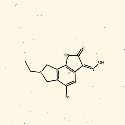 CCN1Cc2c(Br)cc3c(c2C1)NC(=O)C3=NO